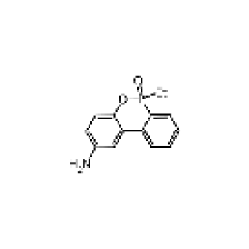 CCP1(=O)Oc2ccc(N)cc2-c2ccccc21